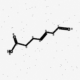 O=CCC=CCCC(=O)O